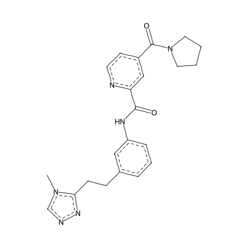 Cn1cnnc1CCc1cccc(NC(=O)c2cc(C(=O)N3CCCC3)ccn2)c1